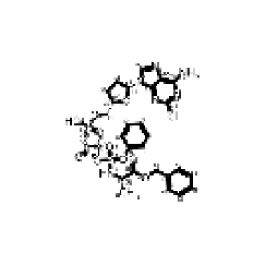 C[C@H](NP(=O)(Oc1ccccc1)OP(=O)(O)OP(=O)(O)OC[C@@H]1CC[C@H](n2cnc3c(N)nc(Cl)nc32)O1)C(=O)OCc1ccccc1